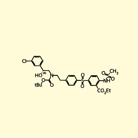 CCOC(=O)c1cc(S(=O)(=O)c2ccc(CCN(C[C@H](O)c3cccc(Cl)c3)C(=O)OC(C)(C)C)cc2)ccc1NS(C)(=O)=O